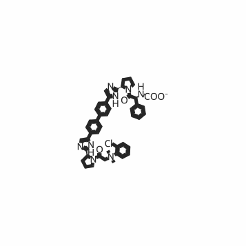 C[N+](C)(CC(=O)N1CCC[C@H]1c1ncc(-c2ccc(-c3ccc(-c4cnc([C@@H]5CCCN5C(=O)[C@H](NC(=O)[O-])c5ccccc5)[nH]4)cc3)cc2)[nH]1)c1ccccc1Cl